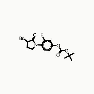 CC(C)(C)OC(=O)Oc1ccc(N2CCC(Br)C2=O)c(F)c1